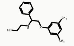 Cc1cc(C)cc(OCC(NCCO)c2ccccc2)c1